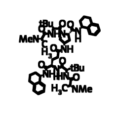 CN[C@@H](C)C(=O)N[C@H](C(=O)N1C[C@@H](NC(=O)CC[C@@H](NC(=O)[C@H](NC(=O)[C@@H](C)NC)C(C)(C)C)C(=O)N[C@H]2CCCc3ccccc32)C[C@H]1C(=O)N[C@@H]1CCCc2ccccc21)C(C)(C)C